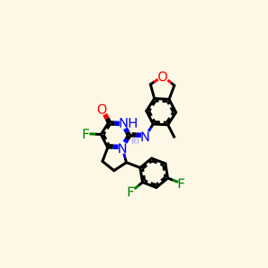 Cc1cc2c(cc1/N=c1\[nH]c(=O)c(F)c3n1C(c1ccc(F)cc1F)CC3)COC2